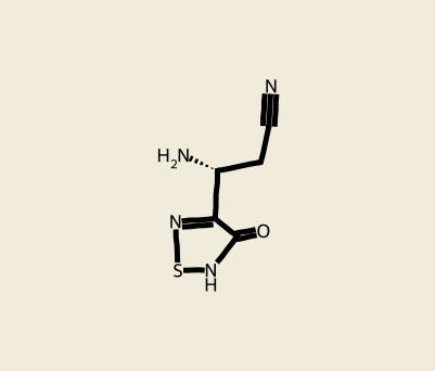 N#CC[C@@H](N)c1ns[nH]c1=O